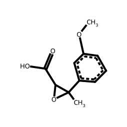 COc1cccc(C2(C)OC2C(=O)O)c1